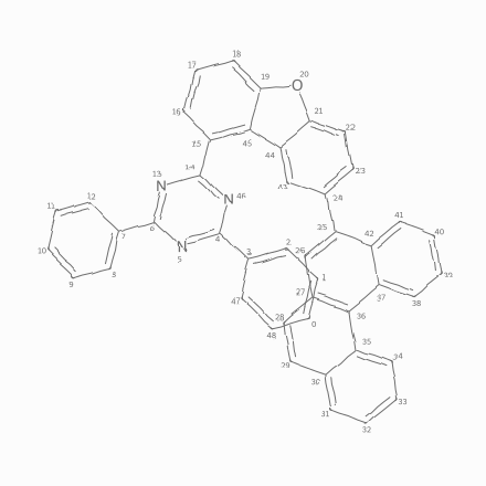 c1ccc(-c2nc(-c3ccccc3)nc(-c3cccc4oc5ccc(-c6cc7ccc8ccccc8c7c7ccccc67)cc5c34)n2)cc1